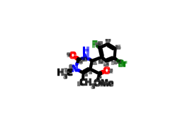 COC(=O)C1=C(C)N(C)C(=O)NC1c1cc(Br)ccc1F